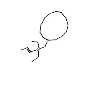 CC=C[Si](CC)(CC)CN1CCCCCCCCCCCC1